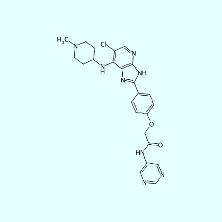 CN1CCC(Nc2c(Cl)cnc3[nH]c(-c4ccc(OCC(=O)Nc5cncnc5)cc4)nc23)CC1